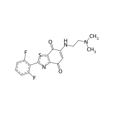 CN(C)CCNC1=CC(=O)c2nc(-c3c(F)cccc3F)sc2C1=O